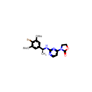 COc1cc([C@H](C)Nc2nccc(N3CCOC3=O)n2)cc(OC)c1Br